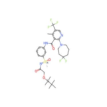 Cc1c(C(F)(F)F)cnc(N2CCCC(F)(F)CC2)c1C(=O)Nc1cccc([S@@](C)(=O)=NC(=O)CO[Si](C)(C)C(C)(C)C)c1